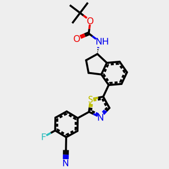 CC(C)(C)OC(=O)N[C@H]1CCc2c(-c3cnc(-c4ccc(F)c(C#N)c4)s3)cccc21